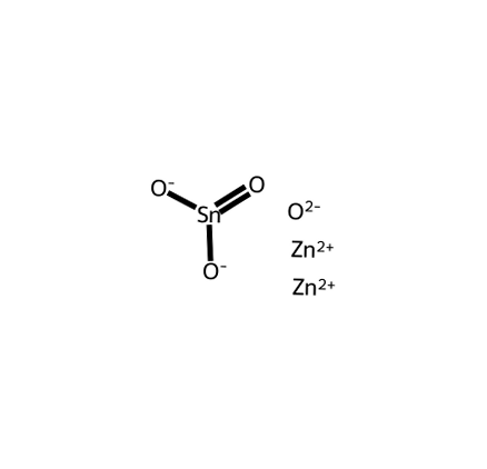 [O-2].[O]=[Sn]([O-])[O-].[Zn+2].[Zn+2]